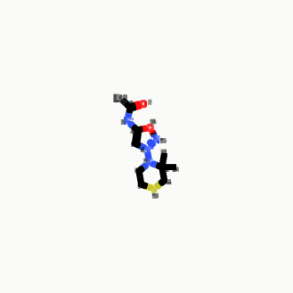 CCC(=O)[N-]c1c[n+](N2CCSCC2(C)C)no1